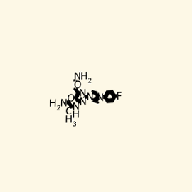 C[C@H](Nc1cc(COCN)nc(N2CC3CC2CN3c2ccc(F)cc2)n1)C(N)=O